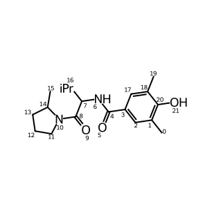 Cc1cc(C(=O)NC(C(=O)N2CCCC2C)C(C)C)cc(C)c1O